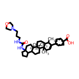 CC1C(c2ccc(C(=O)O)cc2)=CCC2(C)C1CC[C@]1(C)C2CCC2C3CCCC3(NC(=O)NCCCN3CCOCC3)CC[C@]21C